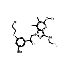 CCOc1nn2c(NCC(F)(F)F)n[n+](CC(=O)c3cc(OCCO)cc(C(C)(C)C)c3)c2c(C)c1C